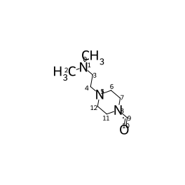 CN(C)CCN1CCN([C]=O)CC1